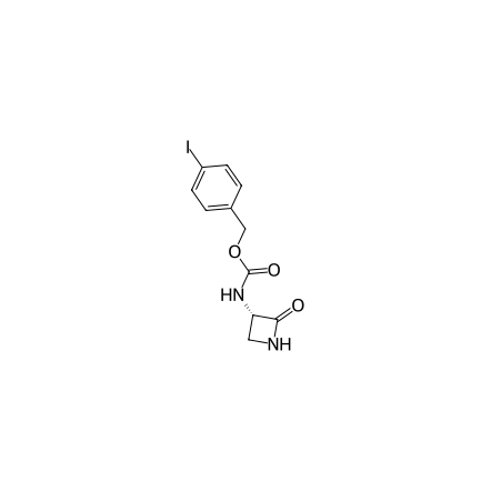 O=C(N[C@H]1CNC1=O)OCc1ccc(I)cc1